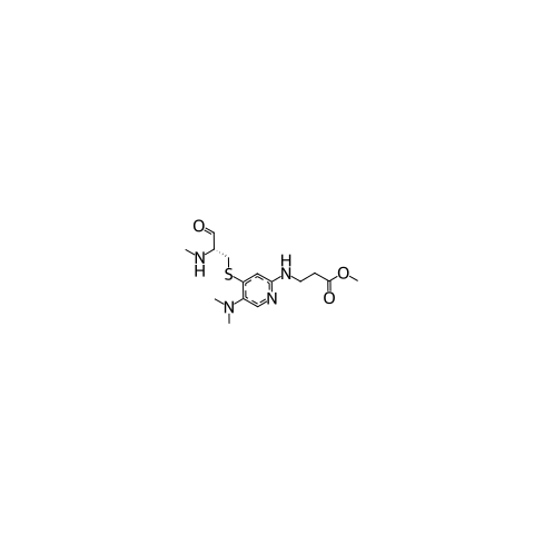 CN[C@H](C=O)CSc1cc(NCCC(=O)OC)ncc1N(C)C